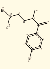 C=C(c1ccc(Br)nc1)C(C)CCN(CC)CC